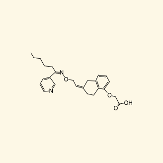 CCCCC/C(=N/OC/C=C1/CCc2c(cccc2OCC(=O)O)C1)c1cccnc1